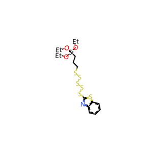 CCO[Si](CCCSSSSSc1nc2ccccc2s1)(OCC)OCC